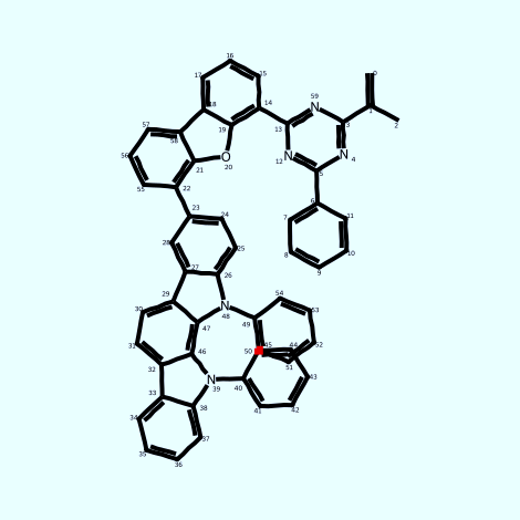 C=C(C)c1nc(-c2ccccc2)nc(-c2cccc3c2oc2c(-c4ccc5c(c4)c4ccc6c7ccccc7n(-c7ccccc7)c6c4n5-c4ccccc4)cccc23)n1